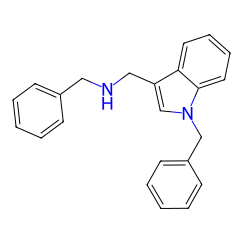 c1ccc(CNCc2cn(Cc3ccccc3)c3ccccc23)cc1